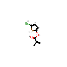 C=C(C)C(=O)Oc1ccc(Br)s1